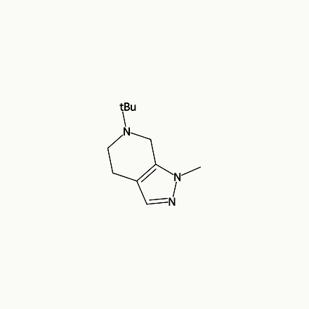 Cn1ncc2c1CN(C(C)(C)C)CC2